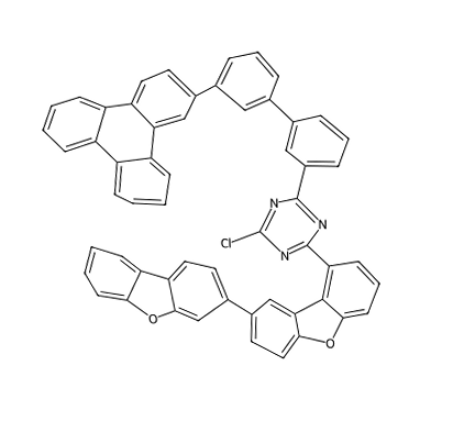 Clc1nc(-c2cccc(-c3cccc(-c4ccc5c6ccccc6c6ccccc6c5c4)c3)c2)nc(-c2cccc3oc4ccc(-c5ccc6c(c5)oc5ccccc56)cc4c23)n1